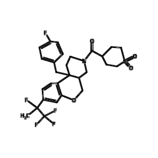 CC(F)(c1ccc2c(c1)OCC1CN(C(=O)C3CCS(=O)(=O)CC3)CCC21Cc1ccc(F)cc1)C(F)(F)F